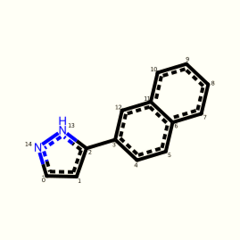 [c]1cc(-c2ccc3ccccc3c2)[nH]n1